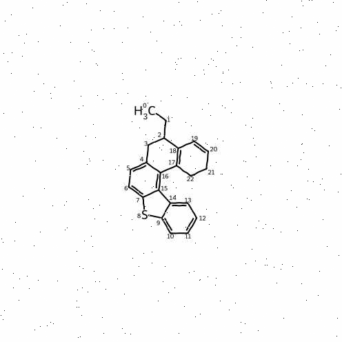 CCC1Cc2ccc3sc4ccccc4c3c2C2=C1C=CCC2